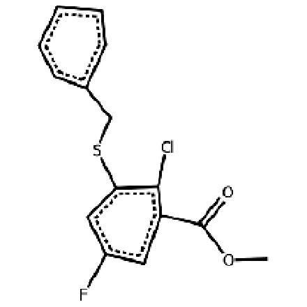 COC(=O)c1cc(F)cc(SCc2ccccc2)c1Cl